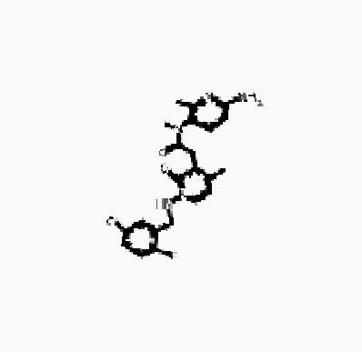 Cc1ccn(NCc2cc(Cl)ccc2F)c(=O)c1CC(=O)N(C)c1ccc(N)nc1C